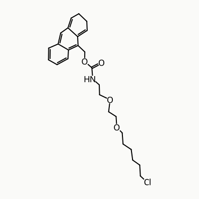 O=C(NCCOCCOCCCCCCCl)OCc1c2c(cc3ccccc13)=CCCC=2